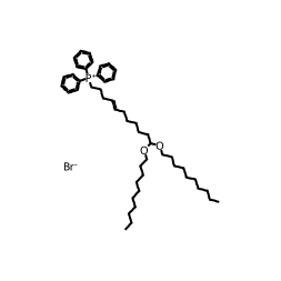 CCCCCCCCCCOC(CCCCCC=CCCC[P+](c1ccccc1)(c1ccccc1)c1ccccc1)OCCCCCCCCCC.[Br-]